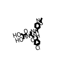 Cc1nc2ccc(Nc3ncc(NC(=O)C(CO)CO)c(=O)n3Cc3ccc(Cl)cc3)cc2s1